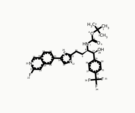 CC(C)(C)OC(=O)N[C@H](CCc1ncc(-c2ccc3cnc(F)cc3c2)s1)[C@@H](O)c1ccc(C(F)(F)F)cc1